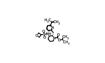 C=C(C)c1cccc(C[C@H]2[C@@H](NS(=O)(=O)C3COC3)CCCN2C(=O)OC(C)C)n1